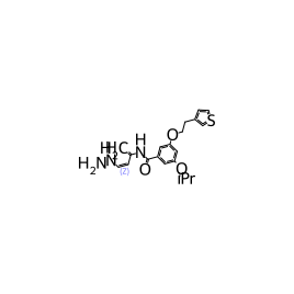 C=C(/C=C\NN)NC(=O)c1cc(OCCc2ccsc2)cc(OC(C)C)c1